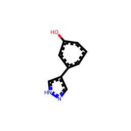 Oc1cccc(-c2cn[nH]c2)c1